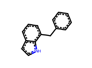 [c]1c[nH]c2c(Cc3ccccc3)cccc12